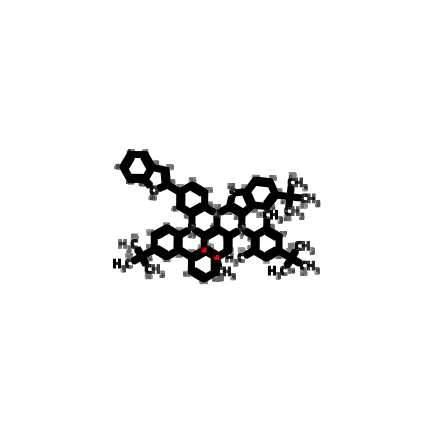 Cc1cc2c3c(c1)N(c1c(C)cc(C(C)(C)C)cc1C)c1c(sc4ccc(C(C)(C)C)cc14)B3c1ccc(-c3cc4ccccc4o3)cc1N2c1ccc(C(C)(C)C)cc1-c1ccccc1